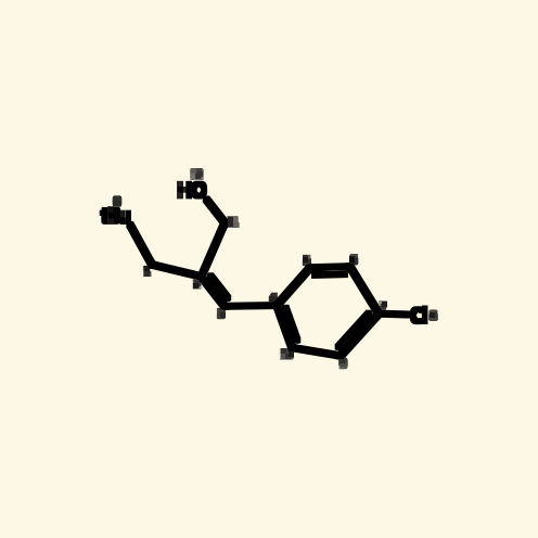 CC(C)(C)CC(=Cc1ccc(Cl)cc1)CO